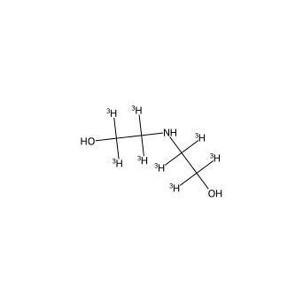 [3H]C([3H])(O)C([3H])([3H])NC([3H])([3H])C([3H])([3H])O